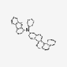 c1ccc(N(c2ccc3c(ccc4c3ccc3ccc5ccccc5c34)c2)c2cccc3c2sc2ccccc23)cc1